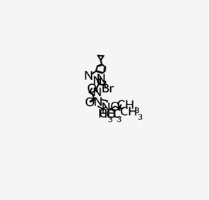 C[C@H]1CN(C(=O)c2coc(-c3nn(-c4ccc(C5CC5)cc4C#N)cc3Br)n2)CCN1C(=O)OC(C)(C)C